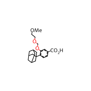 COCCOCOc1cc(C(=O)O)ccc1C12CC3CC(CC(C3)C1)C2